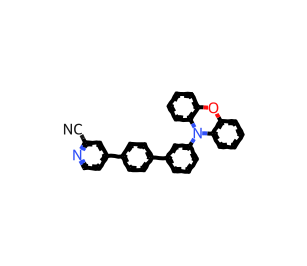 N#Cc1cc(-c2ccc(-c3cccc(N4c5ccccc5Oc5ccccc54)c3)cc2)ccn1